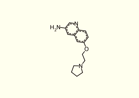 Nc1cnc2ccc(OCCN3CCCC3)cc2c1